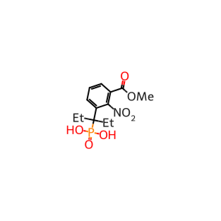 CCC(CC)(c1cccc(C(=O)OC)c1[N+](=O)[O-])P(=O)(O)O